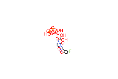 O=c1ccn([C@@H]2O[C@H](COP(=O)(O)OP(=O)(O)OP(=O)(O)O)[C@H](O)[C@@H]2O)c(=O)n1Cc1noc2ccc(F)cc12